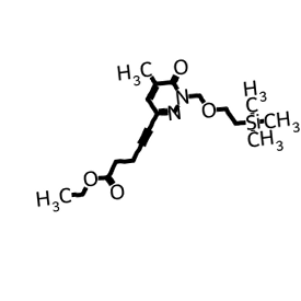 CCOC(=O)CCC#Cc1cc(C)c(=O)n(COCC[Si](C)(C)C)n1